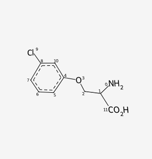 NC(COc1cccc(Cl)c1)C(=O)O